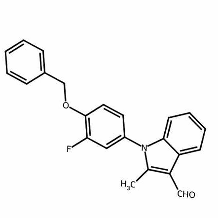 Cc1c(C=O)c2ccccc2n1-c1ccc(OCc2ccccc2)c(F)c1